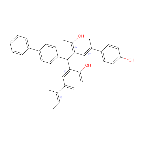 C=C(O)/C(=C\C(=C)/C(C)=C/C)C(C(/C=C(\C)c1ccc(O)cc1)=C(\C)O)c1ccc(-c2ccccc2)cc1